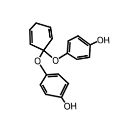 Oc1ccc(OC2(Oc3ccc(O)cc3)C=CCC=C2)cc1